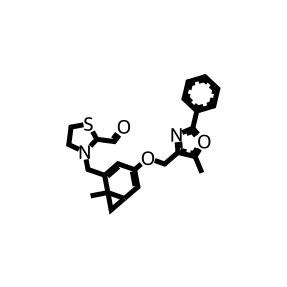 Cc1oc(-c2ccccc2)nc1COC1=CC2CC2(C)C(CN2CCSC2C=O)=C1